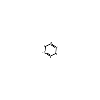 [C]1=CCC=NC1